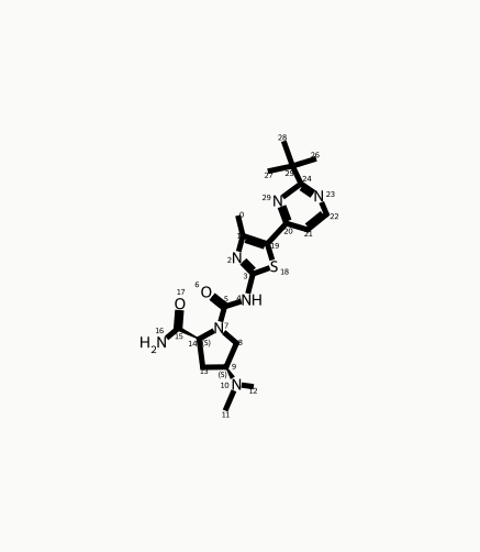 Cc1nc(NC(=O)N2C[C@@H](N(C)C)C[C@H]2C(N)=O)sc1-c1ccnc(C(C)(C)C)n1